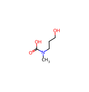 CN(CCCO)C(=O)O